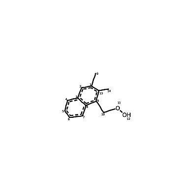 Cc1cc2ccccc2c(COO)c1C